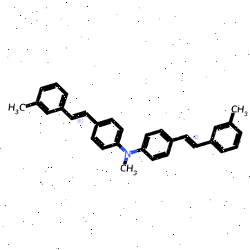 Cc1cccc(/C=C/c2ccc(N(C)c3ccc(/C=C/c4cccc(C)c4)cc3)cc2)c1